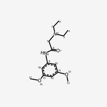 CCN(CC)CC(=O)Nc1cc(OC)cc(OC)c1